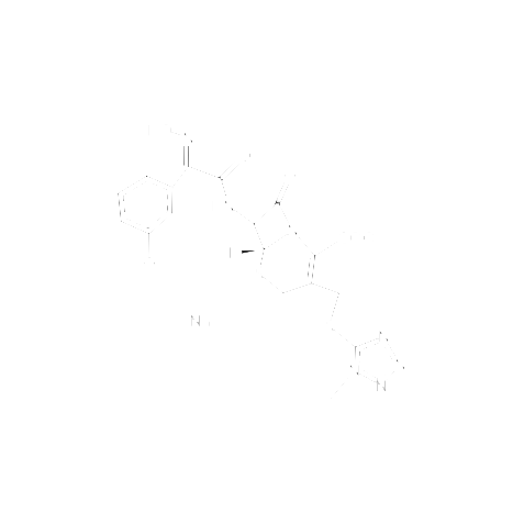 Cn1nnnc1SCC1=C(C(=O)[O-])N2C(=O)C(NC(=O)/C(=N/O)c3cccc(O)c3)[C@H]2SC1.[Na+]